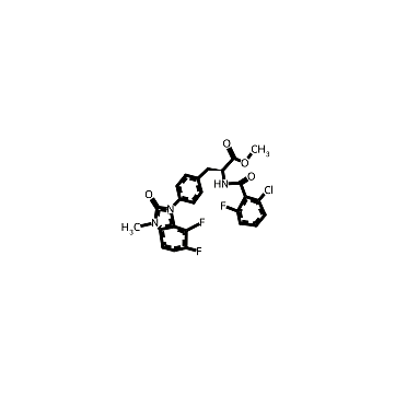 COC(=O)[C@H](Cc1ccc(-n2c(=O)n(C)c3ccc(F)c(F)c32)cc1)NC(=O)c1c(F)cccc1Cl